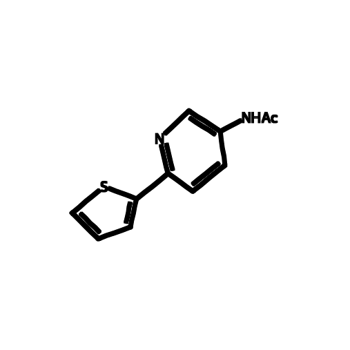 CC(=O)Nc1ccc(-c2cccs2)nc1